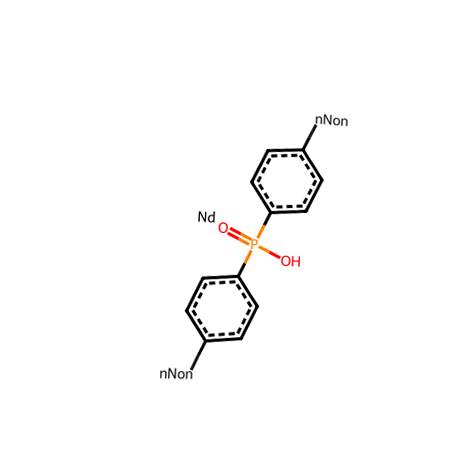 CCCCCCCCCc1ccc(P(=O)(O)c2ccc(CCCCCCCCC)cc2)cc1.[Nd]